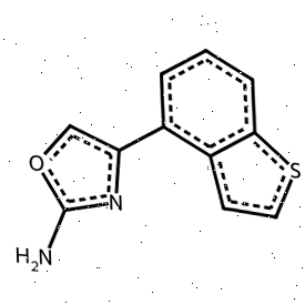 Nc1nc(-c2cccc3sccc23)co1